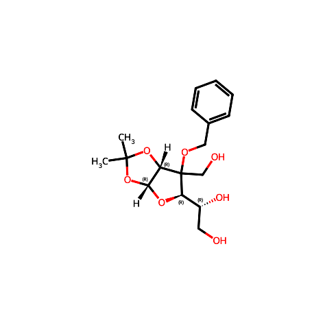 CC1(C)O[C@H]2O[C@H]([C@H](O)CO)C(CO)(OCc3ccccc3)[C@H]2O1